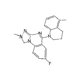 Cc1cccc2c1CCCN2C1=NC2=NN(C)CN2c2ccc(F)cc21